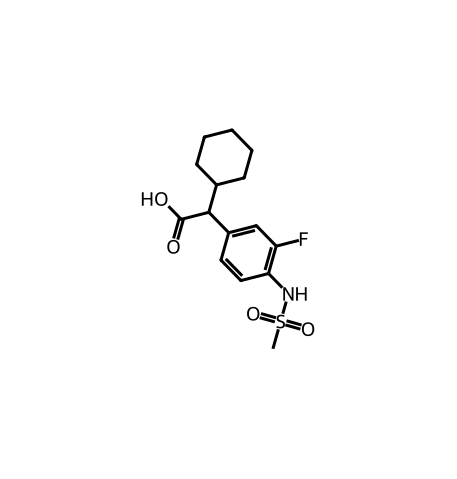 CS(=O)(=O)Nc1ccc(C(C(=O)O)C2CCCCC2)cc1F